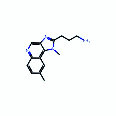 Cc1ccc2ncc3nc(CCCN)n(C)c3c2c1